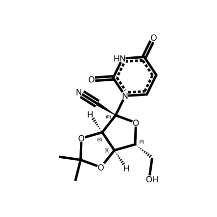 CC1(C)O[C@H]2[C@@H](O1)[C@](C#N)(n1ccc(=O)[nH]c1=O)O[C@@H]2CO